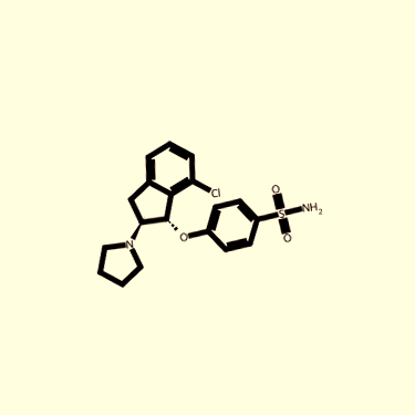 NS(=O)(=O)c1ccc(O[C@H]2c3c(Cl)cccc3C[C@@H]2N2CCCC2)cc1